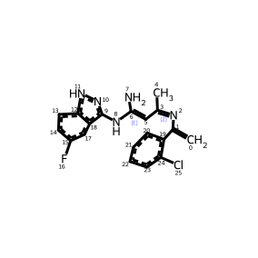 C=C(/N=C(C)\C=C(/N)Nc1n[nH]c2ccc(F)cc12)c1ccccc1Cl